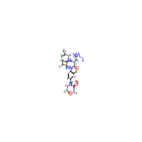 NC[C@@H](C(=O)Nc1ccc(N2CCOCC2=O)cc1F)N(CC(F)F)C1CCC1